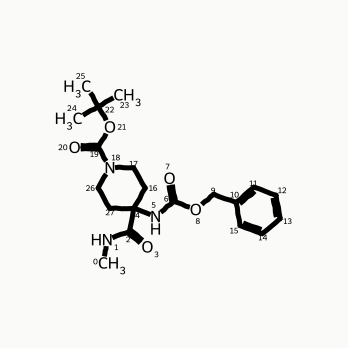 CNC(=O)C1(NC(=O)OCc2ccccc2)CCN(C(=O)OC(C)(C)C)CC1